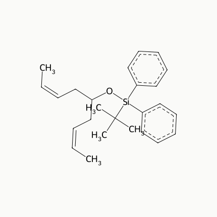 C/C=C\CC(C/C=C\C)O[Si](c1ccccc1)(c1ccccc1)C(C)(C)C